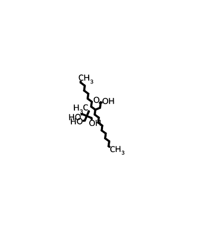 CCC(CO)(CO)CO.CCCCCCCCCCC(CCCCCCCC)CC(=O)O